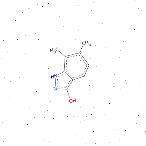 Cc1ccc2c(O)n[nH]c2c1C